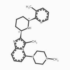 Cc1cccnc1[C@@H]1CCC[C@H](c2nc3cccc(N4CCN(C)CC4)n3c2C)N1